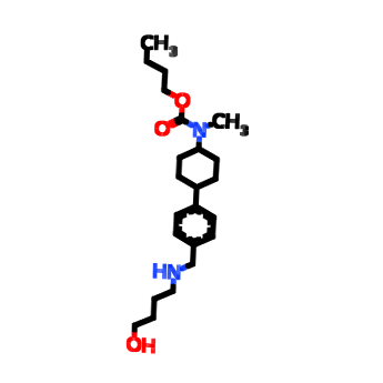 CCCCOC(=O)N(C)C1CCC(c2ccc(CNCCCCO)cc2)CC1